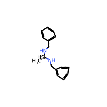 C[SiH](NCc1ccccc1)NCc1ccccc1